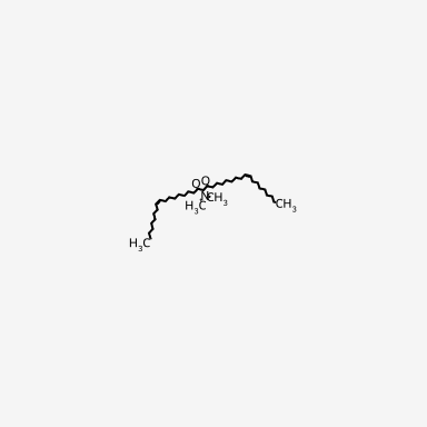 CCCCCCCC/C=C\CCCCCCCC(=O)C(C(=O)CCCCCCC/C=C\CCCCCCCC)N(C)CC